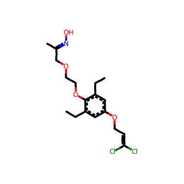 CCc1cc(OCC=C(Cl)Cl)cc(CC)c1OCCOCC(C)=NO